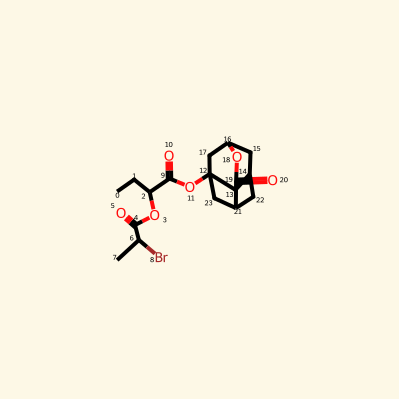 CCC(OC(=O)C(C)Br)C(=O)OC12CC3CC(C1)OC(=O)C(C3)C2